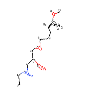 CCNCC(O)COCCC[SiH2]OC